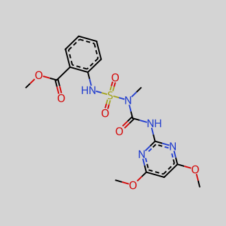 COC(=O)c1ccccc1NS(=O)(=O)N(C)C(=O)Nc1nc(OC)cc(OC)n1